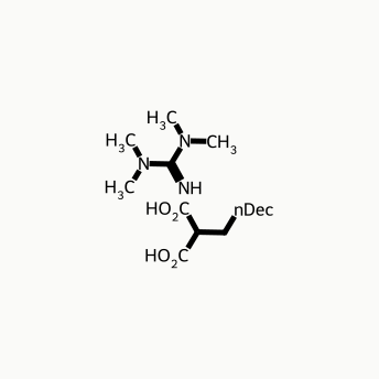 CCCCCCCCCCCC(C(=O)O)C(=O)O.CN(C)C(=N)N(C)C